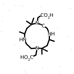 CC1CC(C)(C)N(CC(=O)O)CCNC(C)CC(C)(C)N(CC(=O)O)CCN1